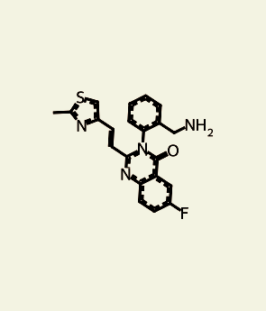 Cc1nc(C=Cc2nc3ccc(F)cc3c(=O)n2-c2ccccc2CN)cs1